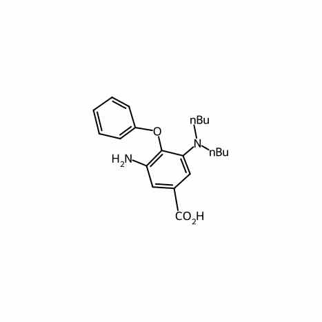 CCCCN(CCCC)c1cc(C(=O)O)cc(N)c1Oc1ccccc1